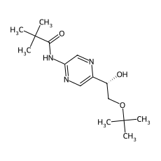 CC(C)(C)OC[C@@H](O)c1cnc(NC(=O)C(C)(C)C)cn1